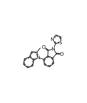 Cc1cc2ccccc2n1-c1cccc2c1C(=O)N(c1nccs1)C2=O